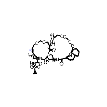 O=C1CCCCCOc2cccc3ccc(nc23)C(=O)N[C@H]2C[C@H]3C(=O)N[C@]4(C(=O)NS(=O)(=O)C5CC5)C[C@H]4/C=C\CCCCC[C@H](N1)C(=O)N3C2